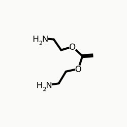 C=C(OCCN)OCCN